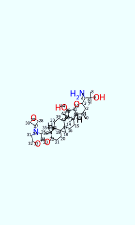 C[C@@H]1CC(C(N)C(C)(C)O)OC2[C@H]1C1(C)CCC34CC35CCC(O[C@H]3CN(C6COC6)CCO3)C(C)(C)[C@@H]5CCC4[C@]1(C)[C@H]2O